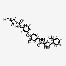 O=C(Nc1ccc(Oc2ccnc(NC(=O)N3CC(O)C3)c2)c(F)c1)c1cn(-c2ccccc2Cl)nn1